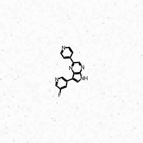 Fc1cncc(-c2c[nH]c3ncc(-c4ccncc4)nc23)c1